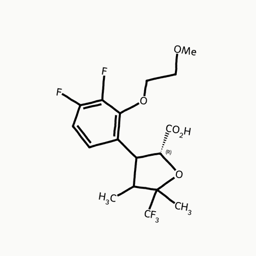 COCCOc1c(C2C(C)C(C)(C(F)(F)F)O[C@H]2C(=O)O)ccc(F)c1F